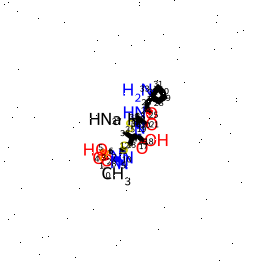 CCOP(=O)(O)Cn1nnnc1SCC1=C(C(=O)O)N2C(=O)[C@@H](NC(=O)Cc3ccccc3N)[C@H]2SC1.[NaH]